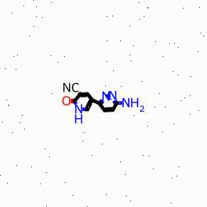 N#Cc1cc(-c2ccc(N)nn2)c[nH]c1=O